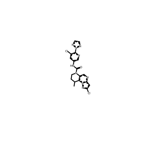 CC1CCN(C(=O)Nc2cnc(-n3nccn3)c(Cl)c2)c2cnc3cc(Cl)nn3c21